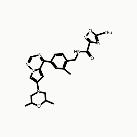 Cc1cc(-c2ncnn3cc(N4CC(C)OC(C)C4)cc23)ccc1CNC(=O)c1noc(C(C)(C)C)n1